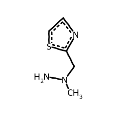 CN(N)Cc1nccs1